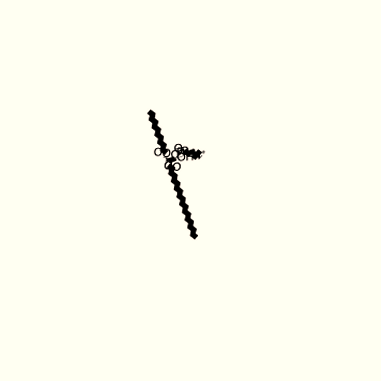 CCCCCCCCCCCCCCCCCCC(=O)O[C@H](COC(=O)CCCCCCCCCC)COP(=O)(O)OCC[N+](C)(C)C